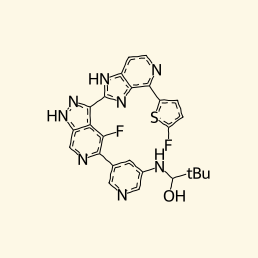 CC(C)(C)C(O)Nc1cncc(-c2ncc3[nH]nc(-c4nc5c(-c6ccc(F)s6)nccc5[nH]4)c3c2F)c1